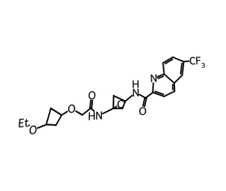 CCOC1CC(OCC(=O)NC23CC(NC(=O)c4ccc5cc(C(F)(F)F)ccc5n4)(C2)C3)C1